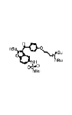 CCCCc1oc2ccc(NS(=O)(=O)CCCC)cc2c1C(=O)c1ccc(OCCCN(CCCC)CCCC)cc1